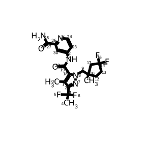 Cc1c(C(C)(F)F)nn(CC2(C)CCC(F)(F)C2)c1C(=O)Nc1ccnc(C(N)=O)c1